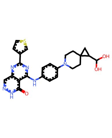 O=c1[nH]ncc2nc(-c3ccsc3)nc(Nc3ccc(N4CCC5(CC4)CC5C(O)O)cc3)c12